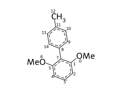 COc1c[c]cc(OC)c1-c1ccc(C)cc1